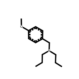 CCCN(CCC)Cc1ccc(OC)cc1